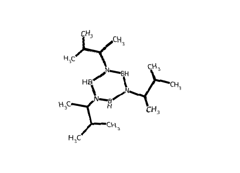 CC(C)C(C)N1BN(C(C)C(C)C)BN(C(C)C(C)C)B1